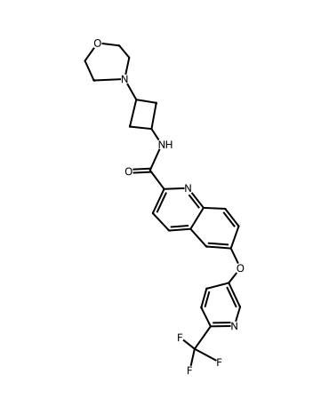 O=C(NC1CC(N2CCOCC2)C1)c1ccc2cc(Oc3ccc(C(F)(F)F)nc3)ccc2n1